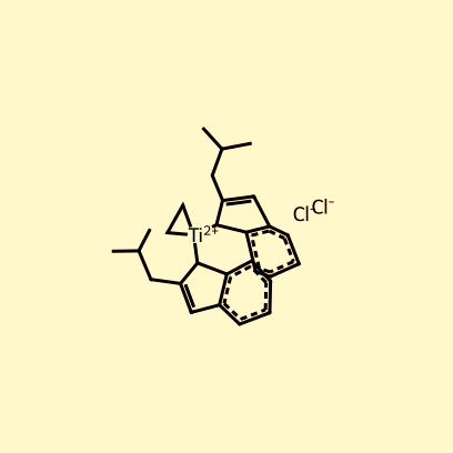 CC(C)CC1=Cc2ccccc2[CH]1[Ti+2]1([CH]2C(CC(C)C)=Cc3ccccc32)[CH2][CH2]1.[Cl-].[Cl-]